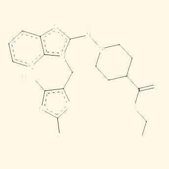 CCOC(=O)C1CCN(Nc2nc3cccnc3n2Cc2oc(C)nc2C)CC1